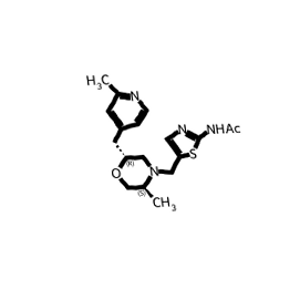 CC(=O)Nc1ncc(CN2C[C@@H](Cc3ccnc(C)c3)OC[C@@H]2C)s1